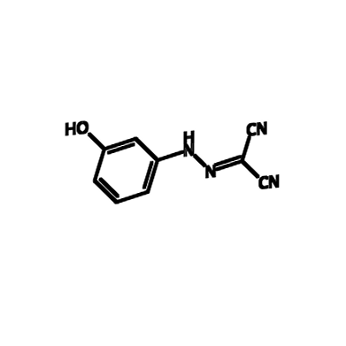 N#CC(C#N)=NNc1cccc(O)c1